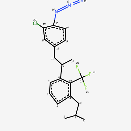 CC(C)Cc1cccc(C(C)Cc2ccc(N=[N+]=[N-])c(Cl)c2)c1C(F)(F)F